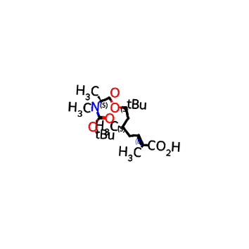 C/C(=C\C[C@H](C)C[C@H](OC(=O)[C@H](C)N(C)C(=O)OC(C)(C)C)C(C)(C)C)C(=O)O